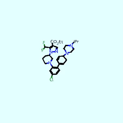 CCOC(=O)c1cnn(C2CCCN(c3cc(Cl)ccc3C3=CCC(N4CCN(C(C)C)CC4)C=C3)C2)c1C(F)F